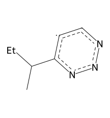 CCC(C)c1[c]cnnn1